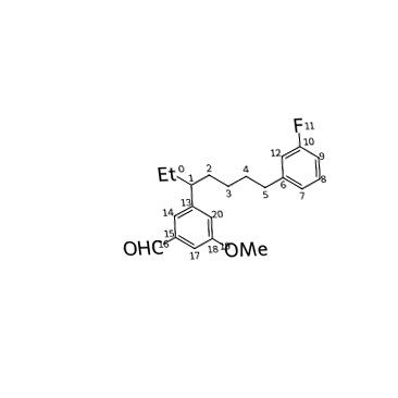 CCC(CCCCc1cccc(F)c1)c1cc(C=O)cc(OC)c1